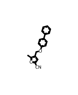 Cc1oc(C#N)cc1COc1ccc(-c2ccccc2)cc1